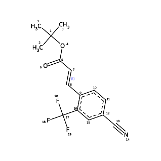 CC(C)(C)OC(=O)/C=C/c1ccc(C#N)cc1C(F)(F)F